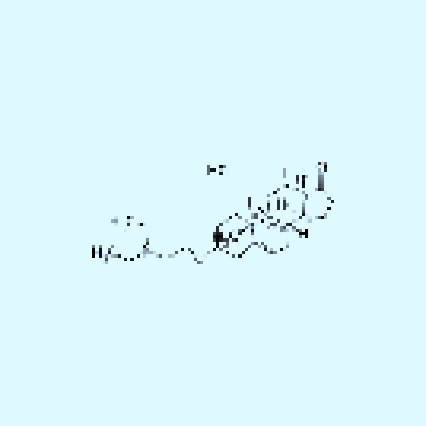 CCN(CC)CCOC1CC[C@@]2(C)C(=CC[C@@H]3[C@H]2CC[C@]2(C)C(=O)CC[C@@H]32)C1.Cl